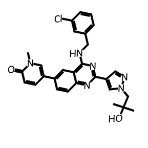 Cn1cc(-c2ccc3nc(-c4cnn(CC(C)(C)O)c4)nc(NCc4cccc(Cl)c4)c3c2)ccc1=O